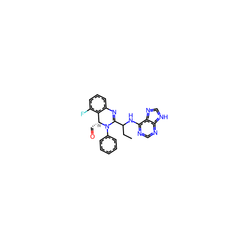 CCC(Nc1ncnc2[nH]cnc12)C1=Nc2cccc(F)c2[C@@H](C=O)N1c1ccccc1